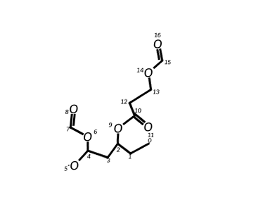 CCC(CC([O])OC=O)OC(=O)CCOC=O